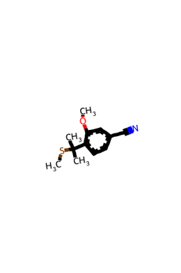 COc1cc(C#N)ccc1C(C)(C)SC